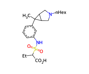 CCCCCCN1CC2C(C1)C2(C)c1cccc(NS(=O)(=O)C(CC)C(=O)O)c1